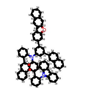 c1ccc(N(c2ccc(-c3ccccc3-n3c4ccccc4c4ccccc43)cc2)c2cc(-c3ccc4ccccc4c3)cc(-c3ccc4c(c3)oc3cc5ccccc5cc34)c2)c(-c2ccc3ccccc3c2)c1